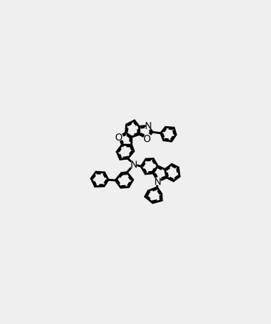 c1ccc(-c2cccc(N(c3ccc4oc5ccc6nc(-c7ccccc7)oc6c5c4c3)c3ccc4c5ccccc5n(-c5ccccc5)c4c3)c2)cc1